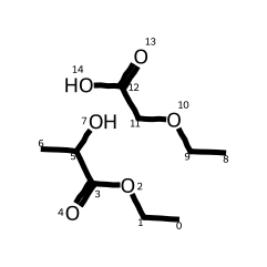 CCOC(=O)C(C)O.CCOCC(=O)O